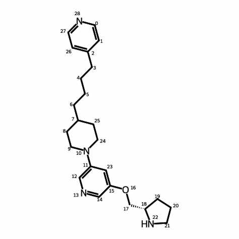 c1cc(CCCCC2CCN(c3cncc(OC[C@@H]4CCCN4)c3)CC2)ccn1